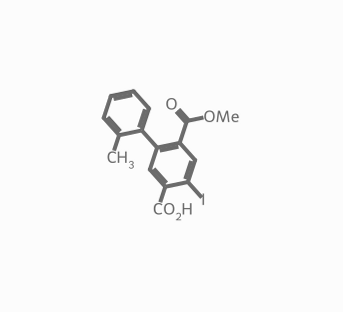 COC(=O)c1cc(I)c(C(=O)O)cc1-c1ccccc1C